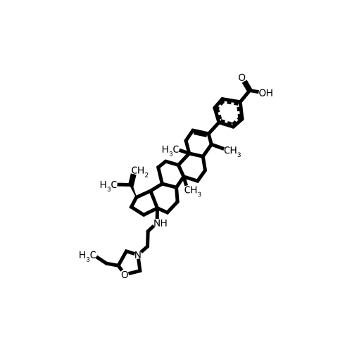 C=C(C)[C@@H]1CCC2(NCCN3COC(CC)C3)CCC3C(CCC4C5(C)CC=C(c6ccc(C(=O)O)cc6)C(C)C5CCC34C)C12